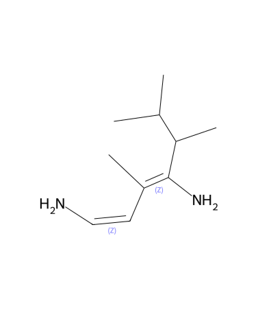 CC(/C=C\N)=C(/N)C(C)C(C)C